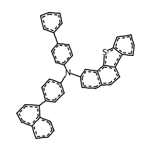 c1ccc(-c2ccc(N(c3ccc(-c4cccc5ccccc45)cc3)c3ccc4ccc5c6ccccc6sc5c4c3)cc2)cc1